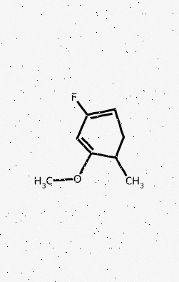 COC1=CC(F)=CCC1C